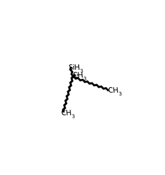 CCCCCCCCCCCCCCCC[N+](C)(CCC[SiH3])CCCCCCCCCCCCCCCC